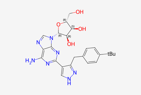 CC(C)(C)c1ccc(Cc2n[nH]cc2-c2nc(N)c3ncn([C@@H]4O[C@H](CO)[C@@H](O)[C@H]4O)c3n2)cc1